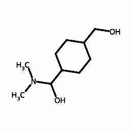 CN(C)C(O)C1CCC(CO)CC1